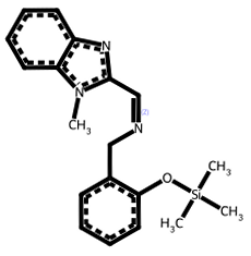 Cn1c(/C=N\Cc2ccccc2O[Si](C)(C)C)nc2ccccc21